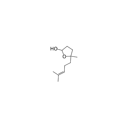 CC(C)=CCCC1(C)CCC(O)O1